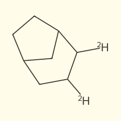 [2H]C1CC2CCC(C2)C1[2H]